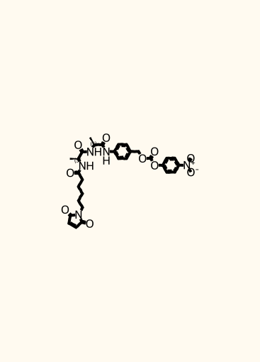 C[C@H](NC(=O)CCCCCN1C(=O)C=CC1=O)C(=O)N[C@@H](C)C(=O)Nc1ccc(COC(=O)Oc2ccc([N+](=O)[O-])cc2)cc1